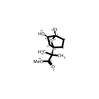 CC[C@]12CC[C@](C(C)(C)C(=O)OC)(C[C@H]1O)O2